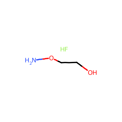 F.NOCCO